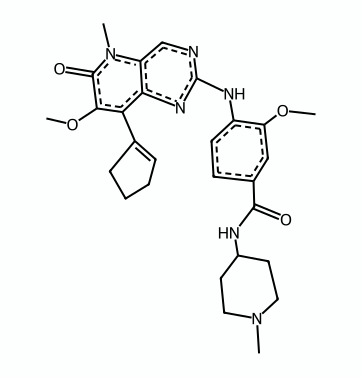 COc1cc(C(=O)NC2CCN(C)CC2)ccc1Nc1ncc2c(n1)c(C1=CCCC1)c(OC)c(=O)n2C